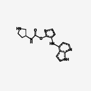 O=C(NC1CCNC1)Oc1sccc1Nc1ccnc2[nH]ccc12